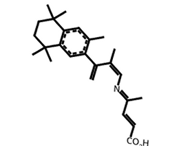 C=C(\C(C)=C/N=C(C)/C=C/C(=O)O)c1cc2c(cc1C)C(C)(C)CCC2(C)C